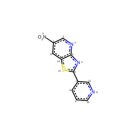 O=[N+]([O-])c1cnc2nc(-c3cccnc3)sc2c1